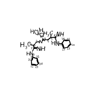 CC(CN=NCC(C)C(=N)Nc1ccccc1)C(=N)Nc1ccccc1.Cl.Cl